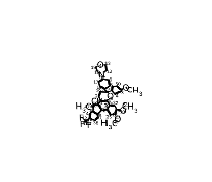 COc1ccc(C2(c3ccc(N4CCOCC4)cc3)C=Cc3c4c(c5cc(OC)c(OC)cc5c3O2)-c2ccc(C(F)(F)F)cc2C4(C)C)cc1